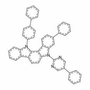 c1ccc(-c2ccc(-n3c4ccccc4c4ccc5c(c6ccc(-c7ccccc7)cc6n5-c5ncc(-c6ccccc6)cn5)c43)cc2)cc1